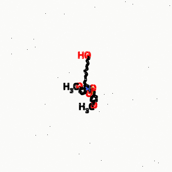 COc1ccc(CS(=O)(=O)n2cc(CCCCCCCCCCO)c3c(OC)cccc32)cc1